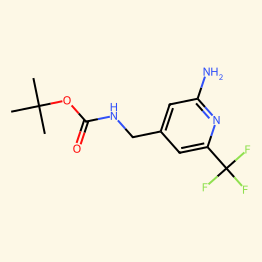 CC(C)(C)OC(=O)NCc1cc(N)nc(C(F)(F)F)c1